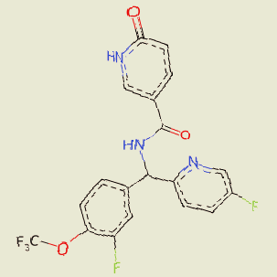 O=C(NC(c1ccc(OC(F)(F)F)c(F)c1)c1ccc(F)cn1)c1ccc(=O)[nH]c1